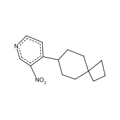 O=[N+]([O-])c1cnccc1C1CCC2(CCC2)CC1